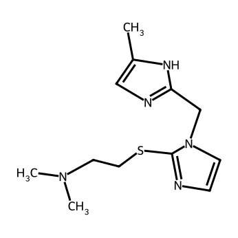 Cc1cnc(Cn2ccnc2SCCN(C)C)[nH]1